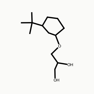 CC(C)(C)C1CCCC(OCC(O)CO)C1